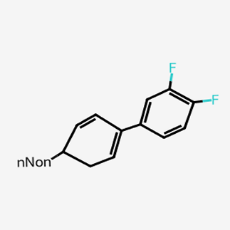 CCCCCCCCCC1C=CC(c2ccc(F)c(F)c2)=CC1